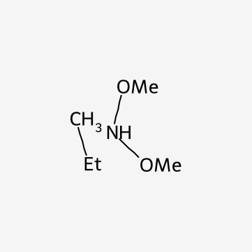 CCC.CONOC